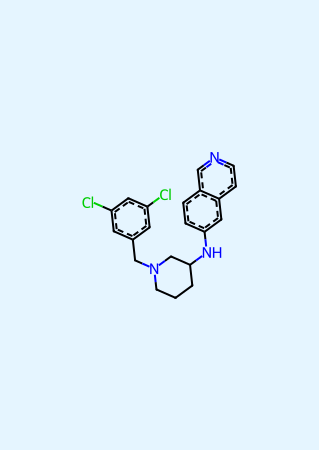 Clc1cc(Cl)cc(CN2CCCC(Nc3ccc4cnccc4c3)C2)c1